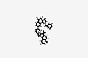 CN(C(=O)c1ccc(-c2cnc3ncc(C4(c5ccc6c(c5)C=CCN6)CC4)n3c2)cc1)C1CCN(Cc2ccccc2)C1